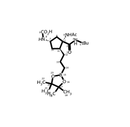 CC(=O)N[C@@]1(C(=O)NC(C)(C)C)C[C@@H](NC(=O)O)C[C@@H]1CCCB1OC(C)(C)C(C)(C)O1